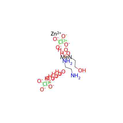 CNCCO.NCCN.O.O.O.O.O.O.[O-][Cl+3]([O-])([O-])[O-].[O-][Cl+3]([O-])([O-])[O-].[Zn+2]